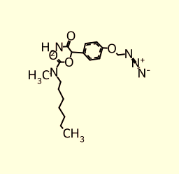 CCCCCCCN(C)C(=O)OC(C(N)=O)c1ccc(OCN=[N+]=[N-])cc1